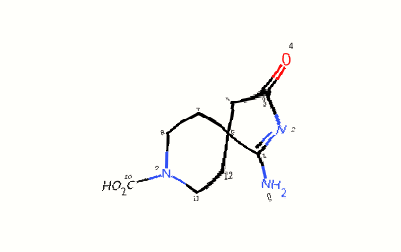 NC1=NC(=O)CC12CCN(C(=O)O)CC2